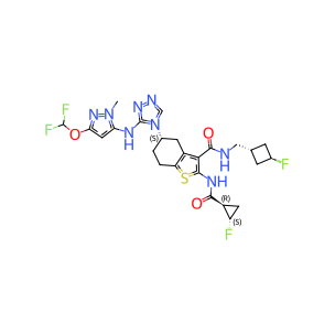 Cn1nc(OC(F)F)cc1Nc1nncn1[C@H]1CCc2sc(NC(=O)[C@H]3C[C@@H]3F)c(C(=O)NC[C@H]3C[C@H](F)C3)c2C1